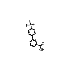 O=C(O)c1cccc(-c2ccc(C(F)(F)F)cc2)n1